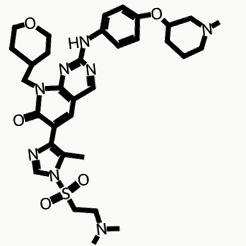 Cc1c(-c2cc3cnc(Nc4ccc(OC5CCCN(C)C5)cc4)nc3n(CC3CCOCC3)c2=O)ncn1S(=O)(=O)CCN(C)C